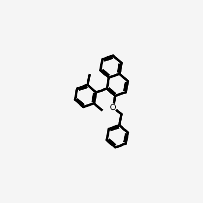 Cc1cccc(C)c1-c1c(OCc2ccccc2)ccc2ccccc12